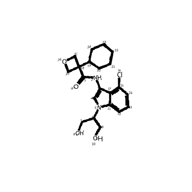 O=C(Nc1cn(C(CO)CO)c2cccc(Cl)c12)C1(C2CCCCC2)COC1